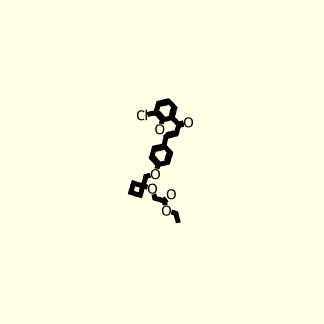 CCOC(=O)COC1(COc2ccc(-c3cc(=O)c4cccc(Cl)c4o3)cc2)CCC1